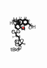 C[C@H](OC(=O)C[C@H](C)C(=O)OC1=CC[C@@]2(O)[C@H]3Cc4ccc(CO)c5c4[C@@]2(CCN3C)[C@H]1O5)C(=O)OC(C)(C)C